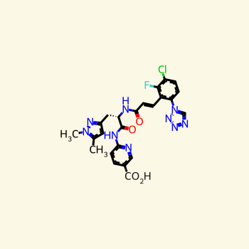 Cc1cc(C[C@H](NC(=O)C=Cc2c(-n3cnnn3)ccc(Cl)c2F)C(=O)Nc2ccc(C(=O)O)cn2)nn1C